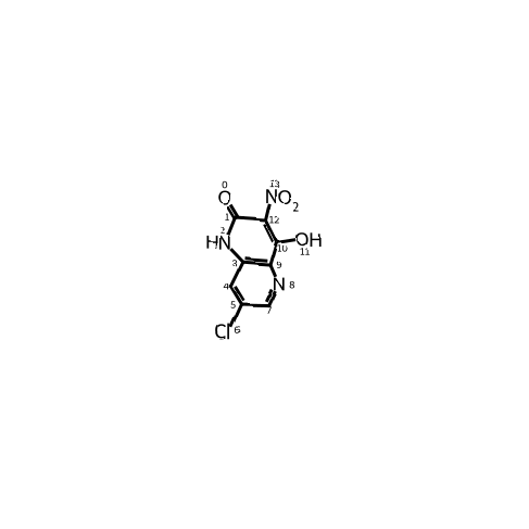 O=c1[nH]c2cc(Cl)cnc2c(O)c1[N+](=O)[O-]